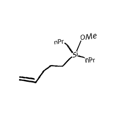 C=CCC[Si](CCC)(CCC)OC